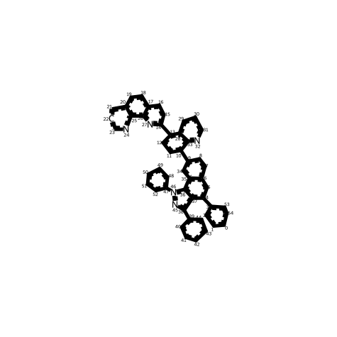 c1ccc(-c2cc3ccc(-c4ccc(-c5ccc6ccc7cccnc7c6n5)c5cccnc45)cc3c3c2c(-c2ccccc2)nn3-c2ccccc2)cc1